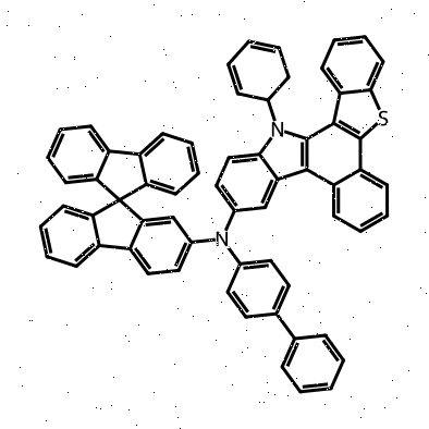 C1=CCC(n2c3ccc(N(c4ccc(-c5ccccc5)cc4)c4ccc5c(c4)C4(c6ccccc6-c6ccccc64)c4ccccc4-5)cc3c3c4ccccc4c4sc5ccccc5c4c32)C=C1